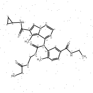 CCNC(=O)c1ccc(C)c(N(C(=O)OCOC(=O)CO)c2ncnn3cc(C(=O)NC4CC4)c(C)c23)c1